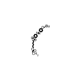 C=CC(=O)OCCCCCCS(=O)(=O)c1ccc(/N=N/c2ccc(OC[C@H](C)CC)cc2)cc1